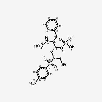 CC(C)CN(C[C@@H](OP(=O)(O)O)[C@H](Cc1ccccc1)NC(=O)O)S(=O)(=O)c1ccc(N)cc1